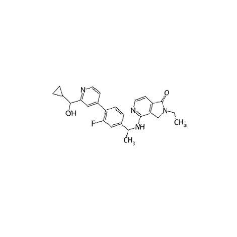 CCN1Cc2c(ccnc2N[C@@H](C)c2ccc(-c3ccnc(C(O)C4CC4)c3)c(F)c2)C1=O